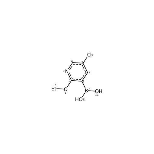 CCOc1ncc(Cl)cc1B(O)O